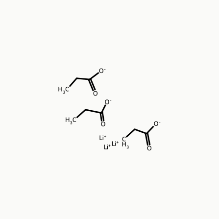 CCC(=O)[O-].CCC(=O)[O-].CCC(=O)[O-].[Li+].[Li+].[Li+]